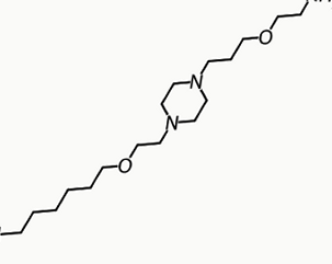 NCCOCCCN1CCN(CCOCCCCCCCl)CC1